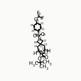 CC(C)(C)OC(=O)N1[C@@H]2CC[C@H]1CC1(C2)CN(S(=O)(=O)c2ccc(OC(F)F)cc2)C1